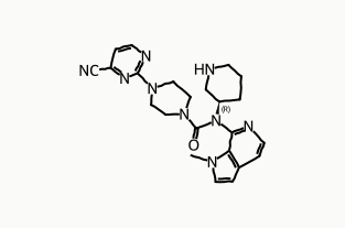 Cn1ccc2ccnc(N(C(=O)N3CCN(c4nccc(C#N)n4)CC3)[C@@H]3CCCNC3)c21